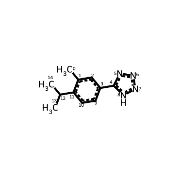 Cc1cc(-c2nnn[nH]2)ccc1C(C)C